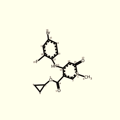 Cn1cc(C(=O)OC2CC2)c(Nc2ccc(Br)cc2F)cc1=O